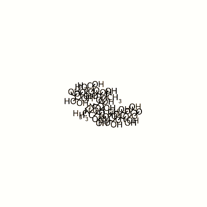 CC(CO)OC(OC1C(CN2CCN(C)CC2)OC(OC(C(CO)OOC2C(C)OC(OC3C(CO)OC(OC4C(CO)OC5OC5C4O)C(O)C3O)C(O)C2O)C(O)C(C)O)C(O)C1O)C(O)C(O)OC(OC(CO)C(O)OC1OC(CO)C(O)C(O)C1O)C(C)O